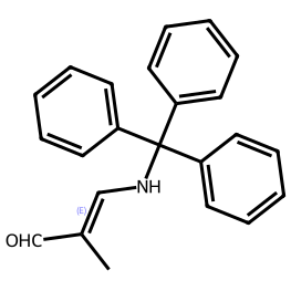 C/C(C=O)=C\NC(c1ccccc1)(c1ccccc1)c1ccccc1